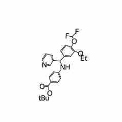 CCOc1cc(C(Nc2ccc(C(=O)OC(C)(C)C)cc2)c2cccnc2)ccc1OC(F)F